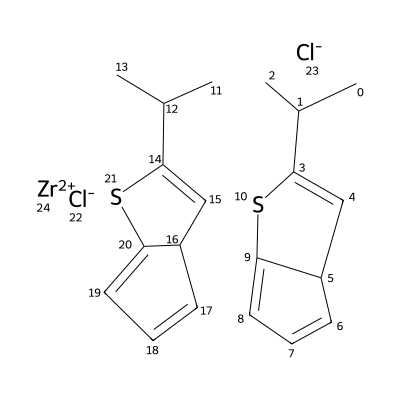 CC(C)C1=CC2C=CC=C2S1.CC(C)C1=CC2C=CC=C2S1.[Cl-].[Cl-].[Zr+2]